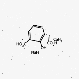 CC(=O)O.O=C(O)c1ccccc1O.[CaH2].[NaH]